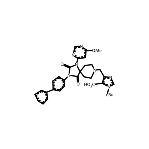 CCCCn1cnc(CN2CCC3(CC2)C(=O)N(c2ccc(-c4ccccc4)cc2)C(=O)N3c2cc(OC)ncn2)c1C(=O)O